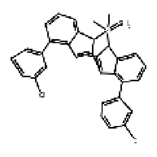 CC1=Cc2c(-c3cccc(Cl)c3)cccc2[CH]1[Zr]([CH3])([CH3])(=[SiH2])[CH]1C(C)=Cc2c(-c3cccc(Cl)c3)cccc21